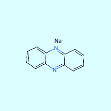 [Na].c1ccc2nc3ccccc3nc2c1